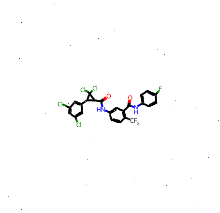 O=C(Nc1ccc(F)cc1)c1cc(NC(=O)C2C(c3cc(Cl)cc(Cl)c3)C2(Cl)Cl)ccc1C(F)(F)F